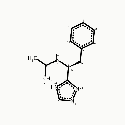 CC(C)N[C@@H](Cc1ccccc1)c1nnc[nH]1